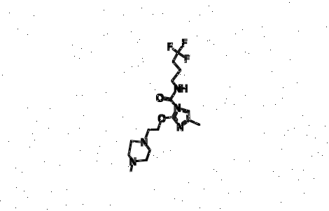 Cc1cn(C(=O)NCCCC(F)(F)F)c(OCCN2CCN(C)CC2)n1